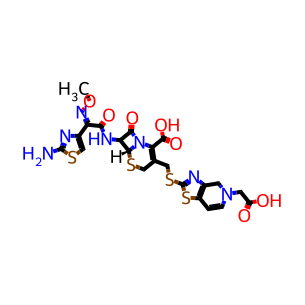 CO/N=C(\C(=O)NC1C(=O)N2C(C(=O)O)=C(CSc3nc4c(s3)C=CN(CC(=O)O)C4)CS[C@H]12)c1csc(N)n1